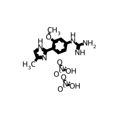 COc1cc(NC(=N)N)ccc1-c1nc(C)c[nH]1.O=[N+]([O-])O.O=[N+]([O-])O